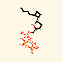 CCCCC1CCC1[C@H]1CC[C@@H](COP(=O)(O)OP(=O)(O)OP(=O)(O)O)O1